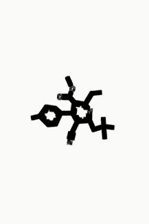 CCc1nc(CC(C)(C)C)c(C#N)c(-c2ccc(C)cc2)c1C(=O)OC